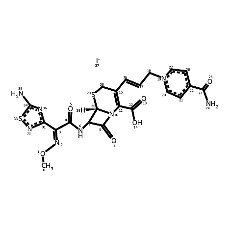 CON=C(C(=O)NC1C(=O)N2C(C(=O)O)=C(C=CC[n+]3ccc(C(N)=O)cc3)CS[C@@H]12)c1nsc(N)n1.[I-]